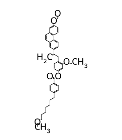 C=C(Cc1ccc(OC(=O)c2ccc(CCCCCCCOC)cc2)cc1OCC)c1ccc2c(ccc3cc(OC=O)ccc32)c1